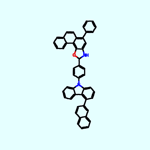 c1ccc(-c2cc3c(c4c2ccc2ccccc24)OC(c2ccc(-n4c5ccccc5c5c(-c6ccc7ccccc7c6)cccc54)cc2)N3)cc1